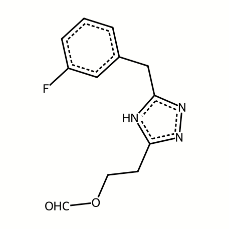 O=COCCc1nnc(Cc2cccc(F)c2)[nH]1